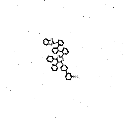 Nc1cccc(-c2ccc(-c3nc(-c4ccccc4-c4ccccc4-c4ccccc4-c4nc5ccccc5s4)nc(-c4ccccc4)c3-c3ccccc3)cc2)c1